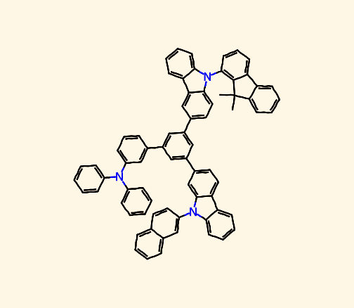 CC1(C)c2ccccc2-c2cccc(-n3c4ccccc4c4cc(-c5cc(-c6cccc(N(c7ccccc7)c7ccccc7)c6)cc(-c6ccc7c8ccccc8n(-c8ccc9ccccc9c8)c7c6)c5)ccc43)c21